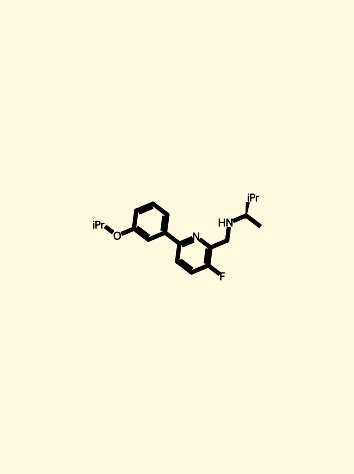 CC(C)Oc1cccc(-c2ccc(F)c(CN[C@H](C)C(C)C)n2)c1